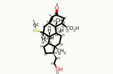 CC(=O)SC1(C(=O)O)CC2=CC(=O)CC(C(=O)O)[C@]2(C)[C@H]2CC[C@]3(C)[C@@H](CCO)CC[C@H]3[C@@H]21